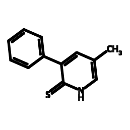 Cc1c[nH]c(=S)c(-c2ccccc2)c1